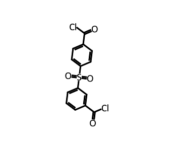 O=C(Cl)c1ccc(S(=O)(=O)c2cccc(C(=O)Cl)c2)cc1